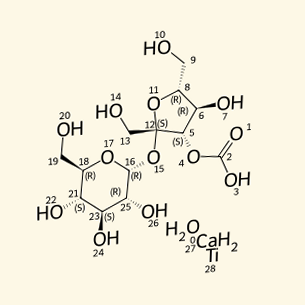 O.O=C(O)O[C@H]1[C@H](O)[C@@H](CO)O[C@@]1(CO)O[C@H]1O[C@H](CO)[C@@H](O)[C@H](O)[C@H]1O.[CaH2].[Ti]